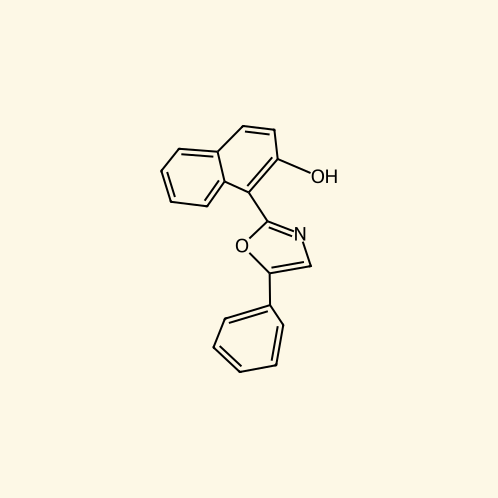 Oc1ccc2ccccc2c1-c1ncc(-c2ccccc2)o1